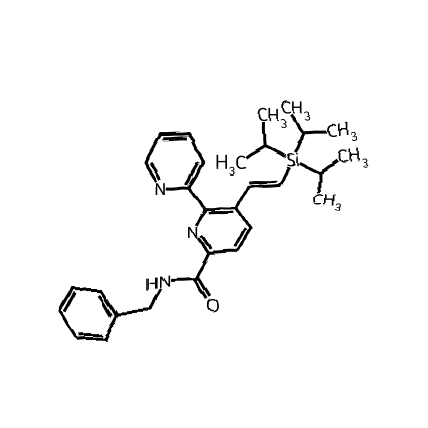 CC(C)[Si](/C=C/c1ccc(C(=O)NCc2ccccc2)nc1-c1ccccn1)(C(C)C)C(C)C